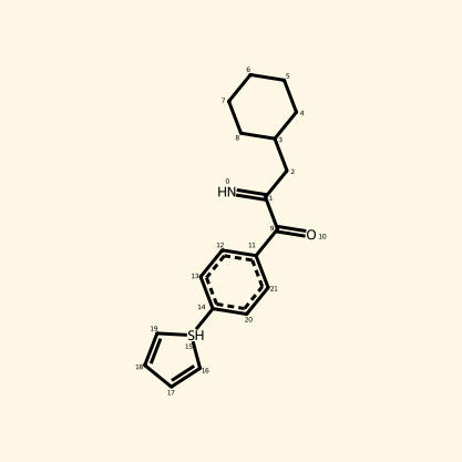 N=C(CC1CCCCC1)C(=O)c1ccc([SH]2C=CC=C2)cc1